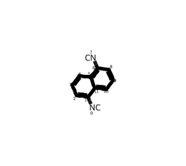 [C-]#[N+]c1cccc2c([N+]#[C-])cccc12